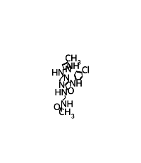 CC(=O)NCCNC(=O)c1ncc(Nc2cc(C)[nH]n2)nc1Nc1ccc(Cl)cc1